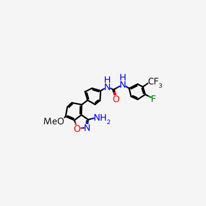 COc1ccc(-c2ccc(NC(=O)Nc3ccc(F)c(C(F)(F)F)c3)cc2)c2c(N)noc12